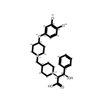 O=C(O)[C@H]([C@H](O)c1ccccc1)N1CCC(CN2CCC(Oc3ccc(Cl)c(Cl)c3)CC2)CC1